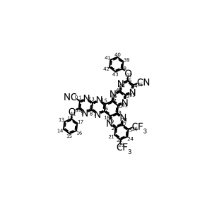 N#Cc1nc2nc3c(nc2nc1Oc1ccccc1)c1nc2cc(C(F)(F)F)cc(C(F)(F)F)c2nc1c1nc2nc(C#N)c(Oc4ccccc4)nc2nc31